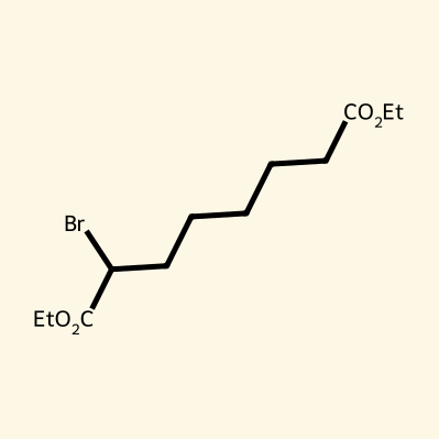 CCOC(=O)CCCCCC(Br)C(=O)OCC